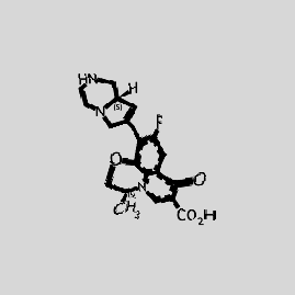 C[C@H]1COc2c(C3=C[C@H]4CNCCN4C3)c(F)cc3c(=O)c(C(=O)O)cn1c23